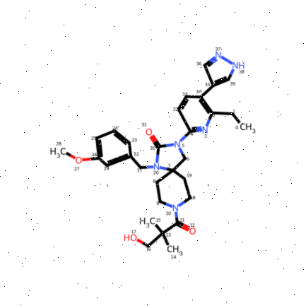 CCc1nc(N2CC3(CCN(C(=O)C(C)(C)CO)CC3)N(Cc3cccc(OC)c3)C2=O)ccc1-c1cn[nH]c1